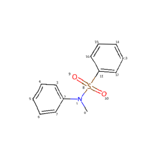 CN(c1cc[c]cc1)S(=O)(=O)c1ccccc1